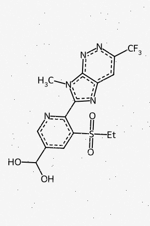 CCS(=O)(=O)c1cc(C(O)O)cnc1-c1nc2cc(C(F)(F)F)nnc2n1C